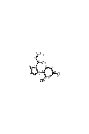 C=CC(=O)c1nccn1-c1ccc(Cl)cc1Cl